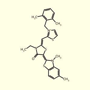 CCn1c(=O)/c(=C2\Sc3ccc(C)cc3N2C)s/c1=C\c1scc[n+]1Cc1c(C)cccc1C